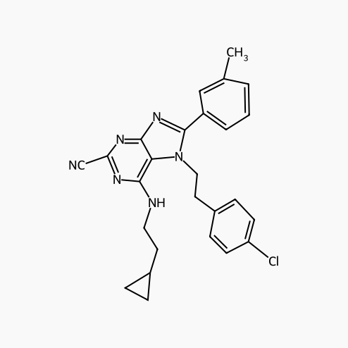 Cc1cccc(-c2nc3nc(C#N)nc(NCCC4CC4)c3n2CCc2ccc(Cl)cc2)c1